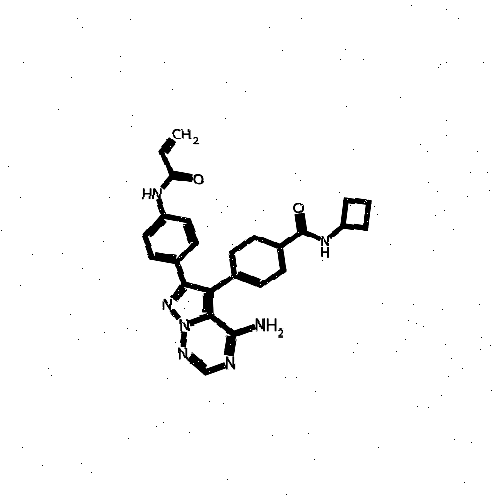 C=CC(=O)Nc1ccc(-c2nn3ncnc(N)c3c2C2=CCC(C(=O)NC3CCC3)CC2)cc1